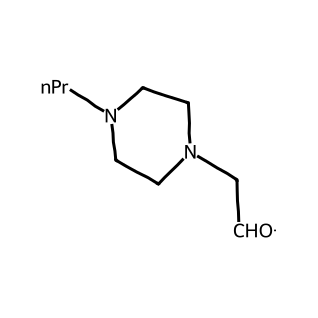 CCCN1CCN(C[C]=O)CC1